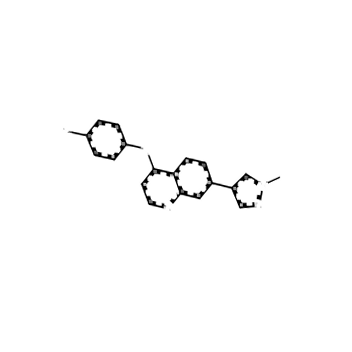 Cn1cc(-c2ccc3c(Oc4ccc(N)cc4)ccnc3c2)cn1